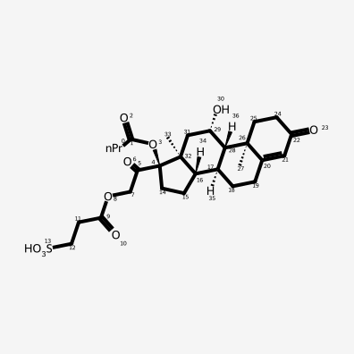 CCCC(=O)O[C@]1(C(=O)COC(=O)CCS(=O)(=O)O)CC[C@H]2[C@@H]3CCC4=CC(=O)CC[C@]4(C)[C@H]3[C@@H](O)C[C@@]21C